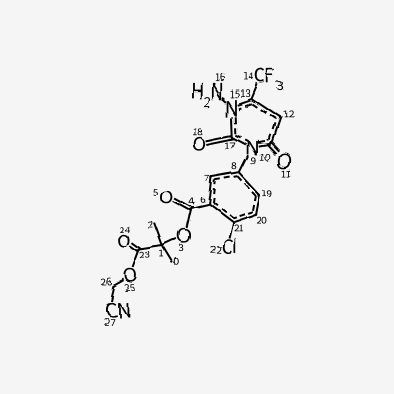 CC(C)(OC(=O)c1cc(-n2c(=O)cc(C(F)(F)F)n(N)c2=O)ccc1Cl)C(=O)OCC#N